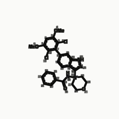 COc1cc(OC)c(Cl)c(-c2ccc3c([N+]4(NC(=O)c5ccccc5)CCOCC4)n[nH]c3c2)c1Cl